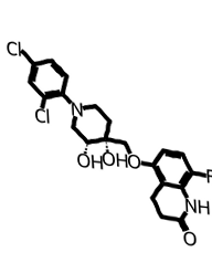 O=C1CCc2c(OC[C@]3(O)CCN(c4ccc(Cl)cc4Cl)C[C@H]3O)ccc(F)c2N1